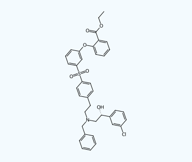 CCOC(=O)c1ccccc1Oc1cccc(S(=O)(=O)c2ccc(CCN(Cc3ccccc3)C[C@H](O)c3cccc(Cl)c3)cc2)c1